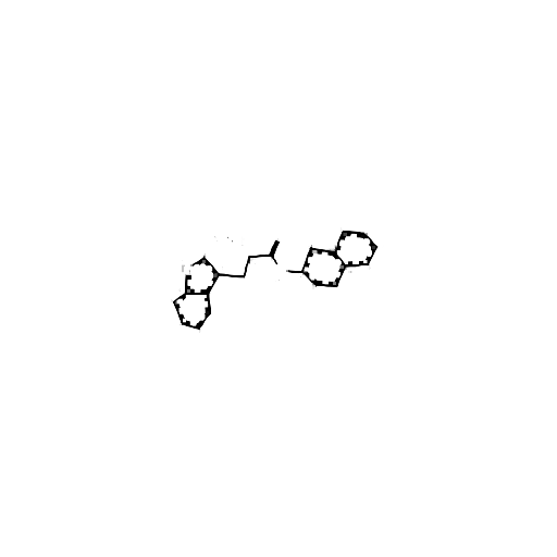 CC(=O)N[C@@H](Cc1c[nH]c2ccccc12)C(=O)Oc1ccc2ccccc2c1